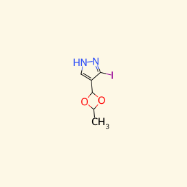 CC1OC(c2c[nH]nc2I)O1